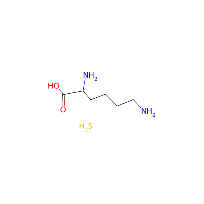 NCCCCC(N)C(=O)O.S